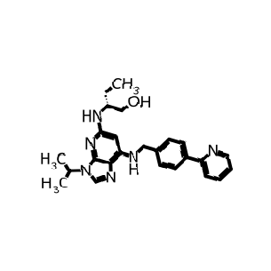 CC[C@H](CO)Nc1cc(NCc2ccc(-c3ccccn3)cc2)c2ncn(C(C)C)c2n1